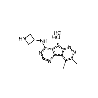 Cc1nnc2sc3c(NC4CNC4)ncnc3c2c1C.Cl.Cl